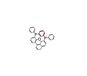 C1=CC2=C3C(=CC=C(P(c4ccccc4)c4ccccc4)C3Oc3c2cccc3P(c2ccccc2)c2ccccc2)C1